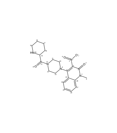 Cn1c(=O)c([N+](=O)[O-])c(N2CCN(C(=O)C3CCCCN3)CC2)c2ccccc21